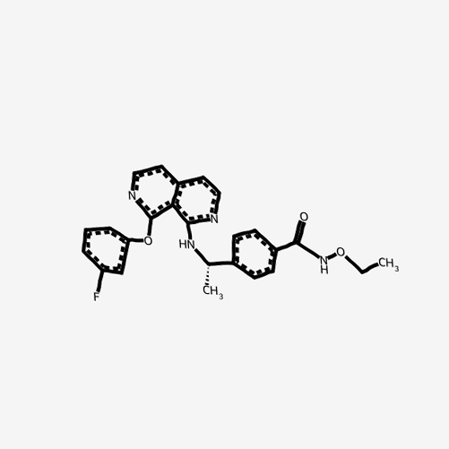 CCONC(=O)c1ccc([C@H](C)Nc2nccc3ccnc(Oc4cccc(F)c4)c23)cc1